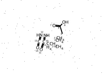 C.C.C.C.C.CC(=O)O.N=C=O.N=C=O